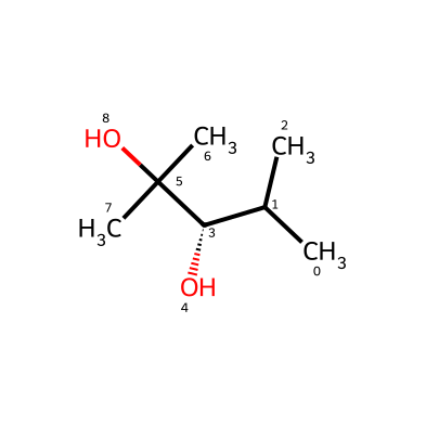 CC(C)[C@H](O)C(C)(C)O